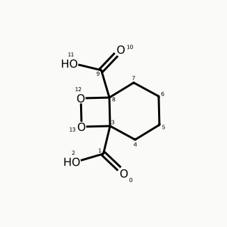 O=C(O)C12CCCCC1(C(=O)O)OO2